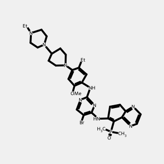 CCc1cc(Nc2ncc(Br)c(Nc3ccc4nccnc4c3P(C)(C)=O)n2)c(OC)cc1N1CCC(N2CCN(CC)CC2)CC1